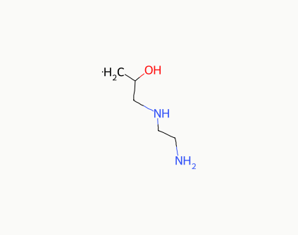 [CH2]C(O)CNCCN